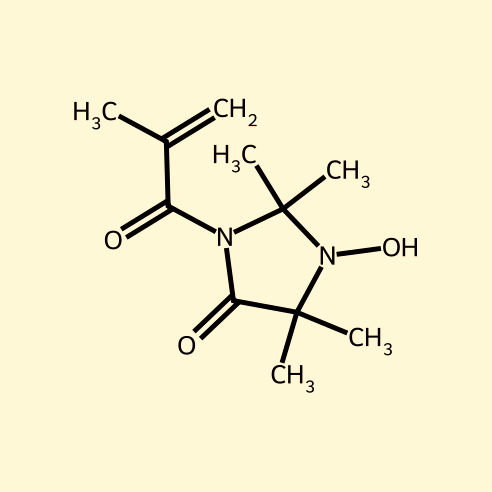 C=C(C)C(=O)N1C(=O)C(C)(C)N(O)C1(C)C